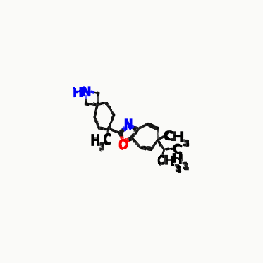 CC(C)C1(C)C=Cc2nc(C3(C)CCC4(CC3)CNC4)oc2C=C1